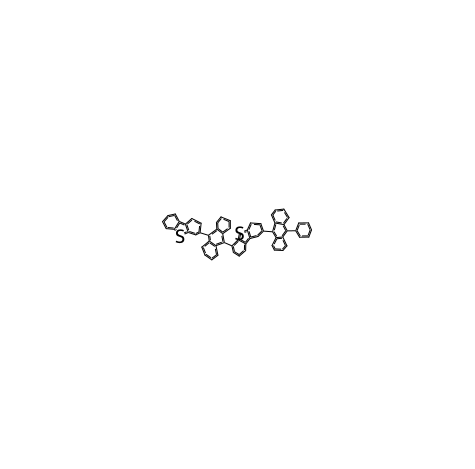 c1ccc(-c2c3ccccc3c(-c3ccc4sc5c(-c6c7ccccc7c(-c7ccc8c(c7)sc7ccccc78)c7ccccc67)cccc5c4c3)c3ccccc23)cc1